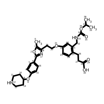 Cc1oc(-c2ccc(OC3CCNCC3)cc2)nc1CCOc1ccc(CCC(=O)O)c(CNC(=O)OC(C)C)c1